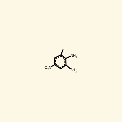 Bc1cc([N+](=O)[O-])cc(C)c1N